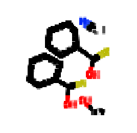 C#N.CCCO.OC(=S)c1ccccc1.OC(=S)c1ccccc1